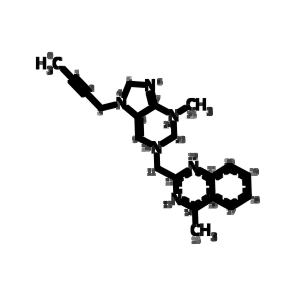 CC#CCN1CN=C2C1=CN(Cc1nc(C)c3ccccc3n1)CN2C